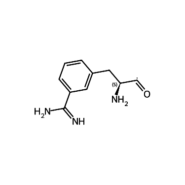 N=C(N)c1cccc(C[C@H](N)[C]=O)c1